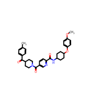 COc1ccc(OC2CCC(NC(=O)c3ccc(C(=O)N4CCC(C(=O)c5ccc(C)cc5)CC4)cn3)CC2)cc1